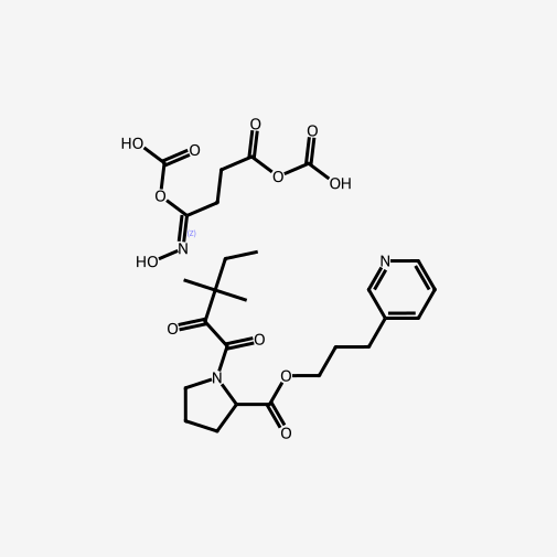 CCC(C)(C)C(=O)C(=O)N1CCCC1C(=O)OCCCc1cccnc1.O=C(O)OC(=O)CC/C(=N/O)OC(=O)O